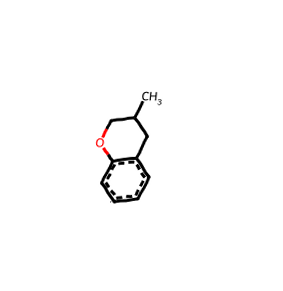 CC1COc2c[c]ccc2C1